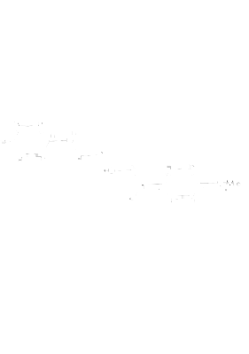 COc1ccc(/C(C)=C/OCCOc2ccccc2)cc1